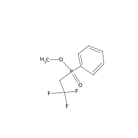 COP(=O)(CC(F)(F)F)c1ccccc1